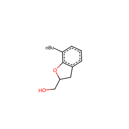 CCCCc1cccc2c1OC(CO)C2